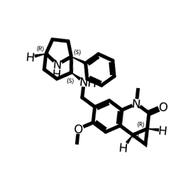 COc1cc2c(cc1CN[C@H]1CC[C@@H]3CC[C@@]1(c1ccccc1)N3)N(C)C(=O)[C@@H]1C[C@H]21